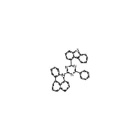 c1ccc(-c2nc(-c3cccc4sc5ccccc5c34)nc(N3c4ccccc4-c4cccc5cccc3c45)n2)cc1